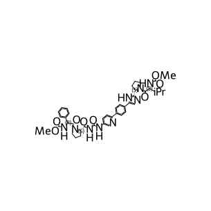 COC(=O)N[C@H](C(=O)N1CCC[C@H]1c1ncc(-c2ccc(-c3ccc(NC(=O)NC(=O)[C@@H]4CCCN4C(=O)[C@H](NC(=O)OC)c4ccccc4)cn3)cc2)[nH]1)C(C)C